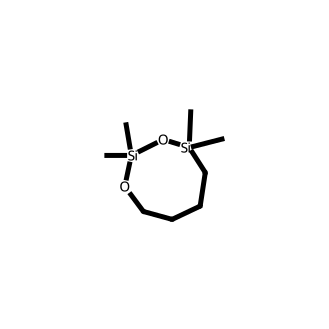 C[Si]1(C)CCCCO[Si](C)(C)O1